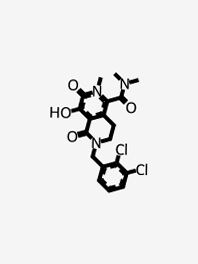 CN(C)C(=O)c1c2c(c(O)c(=O)n1C)C(=O)N(Cc1cccc(Cl)c1Cl)CC2